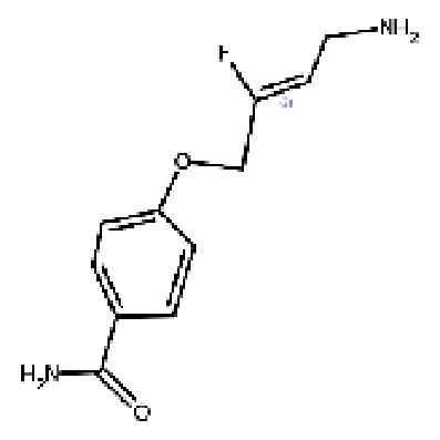 NC/C=C(\F)COc1ccc(C(N)=O)cc1